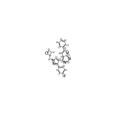 Fc1ccc(-c2nn(CC3CCO3)cc2-c2ncnc3oc(-c4ccccc4)cc23)cc1